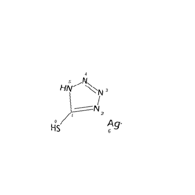 Sc1nnn[nH]1.[Ag]